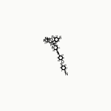 N#Cc1ccc(COc2ccc(C#Cc3ccc(C(F)(F)[C@@](O)(Cn4cnnn4)c4ccc(F)cc4F)nc3)cc2)cc1